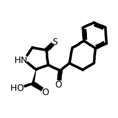 O=C(C1CCc2ccccc2C1)C1C(=S)CN[C@@H]1C(=O)O